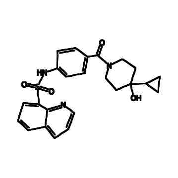 O=C(c1ccc(NS(=O)(=O)c2cccc3cccnc23)cc1)N1CCC(O)(C2CC2)CC1